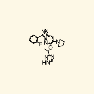 CC(Oc1nn2c(-c3ccccc3F)nnc2cc1N1CCCC1)c1nc[nH]n1